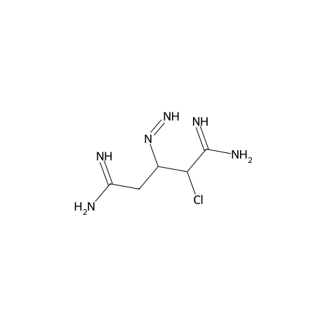 N=NC(CC(=N)N)C(Cl)C(=N)N